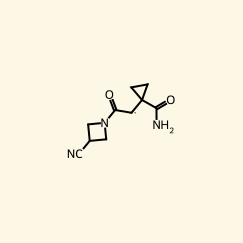 N#CC1CN(C(=O)[CH]C2(C(N)=O)CC2)C1